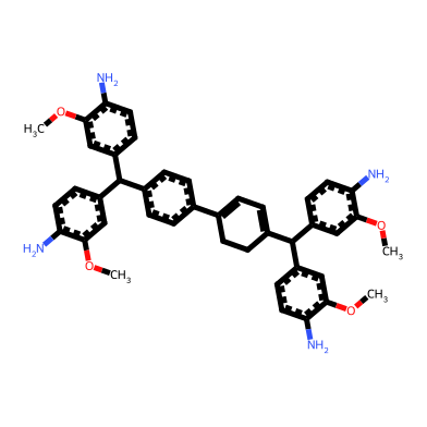 COc1cc(C(C2=CC=C(c3ccc(C(c4ccc(N)c(OC)c4)c4ccc(N)c(OC)c4)cc3)CC2)c2ccc(N)c(OC)c2)ccc1N